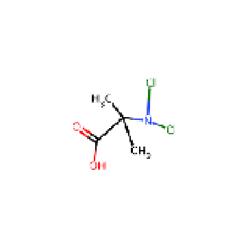 CC(C)(C(=O)O)N(Cl)Cl